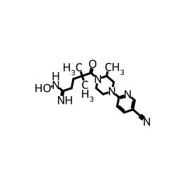 CC1CN(c2ccc(C#N)cn2)CCN1C(=O)C(C)(C)CCC(=N)NO